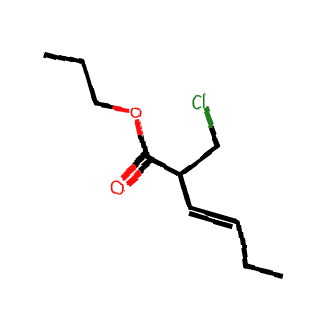 CCC=CC(CCl)C(=O)OCCC